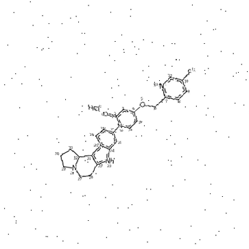 Cl.O=c1cc(OCc2ccc(F)cn2)ccn1-c1ccc2c3c([nH]c2c1)CCN1CCCC31